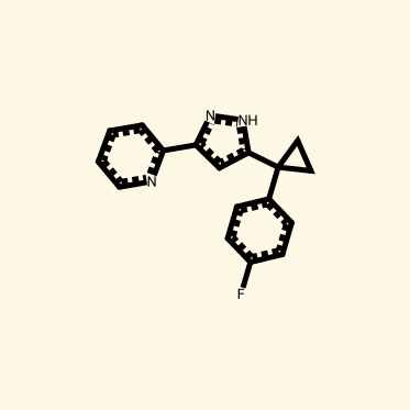 Fc1ccc(C2(c3cc(-c4ccccn4)n[nH]3)CC2)cc1